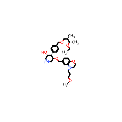 CCO[C@@H](C)[C@H](C)COCc1ccc([C@H]2[C@H](O)CNC[C@@H]2OCc2ccc3c(c2)N(CCCOC)CCO3)cc1